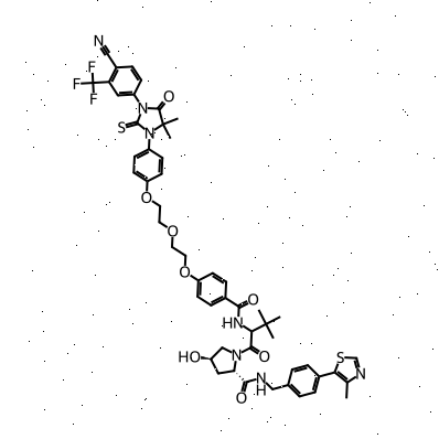 Cc1ncsc1-c1ccc(CNC(=O)[C@@H]2C[C@@H](O)CN2C(=O)C(NC(=O)c2ccc(OCCOCCOc3ccc(N4C(=S)N(c5ccc(C#N)c(C(F)(F)F)c5)C(=O)C4(C)C)cc3)cc2)C(C)(C)C)cc1